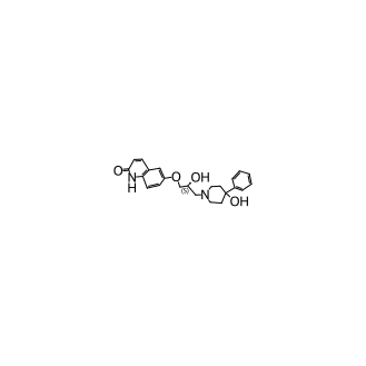 O=c1ccc2cc(OC[C@@H](O)CN3CCC(O)(c4ccccc4)CC3)ccc2[nH]1